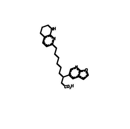 O=C(O)CC(CCCCCCc1ccc2c(n1)NCCC2)c1cnc2occc2c1